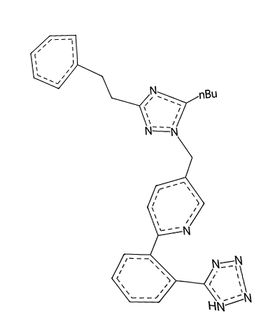 CCCCc1nc(CCc2ccccc2)nn1Cc1ccc(-c2ccccc2-c2nnn[nH]2)nc1